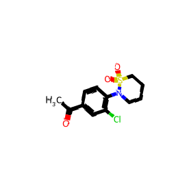 CC(=O)c1ccc(N2CCCCS2(=O)=O)c(Cl)c1